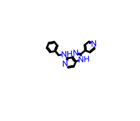 c1ccc(CNc2nccc3[nH]c(-c4ccncc4)nc23)cc1